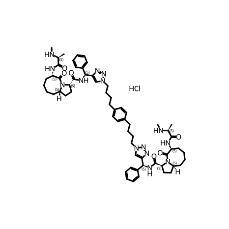 CN[C@@H](C)C(=O)N[C@H]1CCCC[C@H]2CC[C@@H](C(=O)N[C@@H](c3ccccc3)c3cn(CCCCc4ccc(CCCCn5cc([C@@H](NC(=O)[C@@H]6CC[C@@H]7CCCC[C@H](NC(=O)[C@H](C)NC)C(=O)N76)c6ccccc6)nn5)cc4)nn3)N2C1=O.Cl